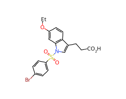 CCOc1ccc2c(CCC(=O)O)cn(S(=O)(=O)c3ccc(Br)cc3)c2c1